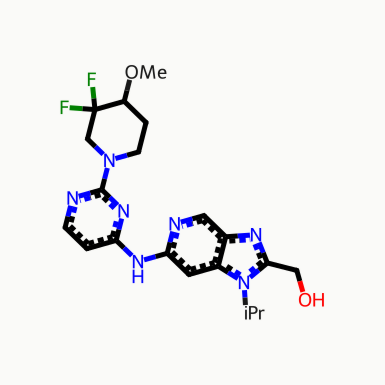 COC1CCN(c2nccc(Nc3cc4c(cn3)nc(CO)n4C(C)C)n2)CC1(F)F